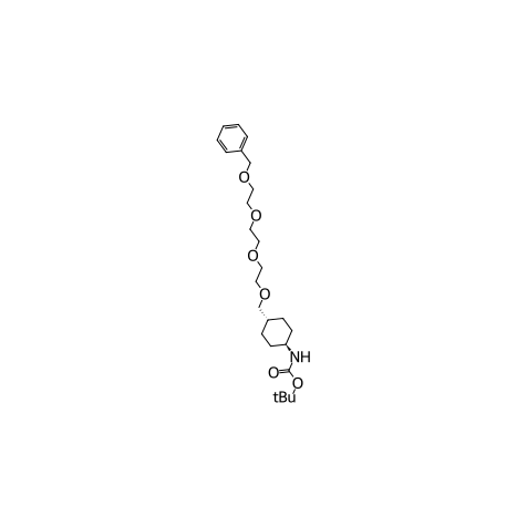 CC(C)(C)OC(=O)N[C@H]1CC[C@H](COCCOCCOCCOCc2ccccc2)CC1